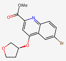 COC(=O)c1cc(O[C@H]2CCOC2)c2cc(Br)ccc2n1